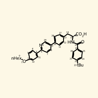 CCCCCCOc1ccc(-c2ccc(-c3ccc(C[C@H](NC(=O)c4ccc(C(C)(C)C)cc4)C(=O)O)cc3)cn2)cc1